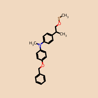 CSOCC(C)c1ccc(N(C)c2ccc(OCc3ccccc3)cc2)cc1